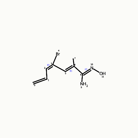 C=C\C=C(Br)/C=C(C)/C(N)=N/O